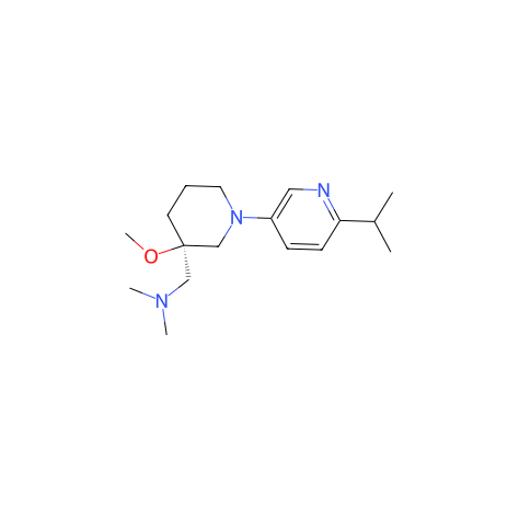 CO[C@@]1(CN(C)C)CCCN(c2ccc(C(C)C)nc2)C1